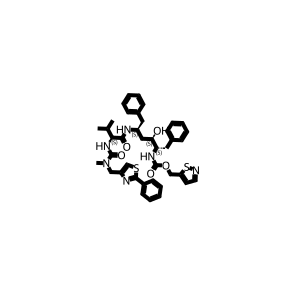 CC(C)[C@H](NC(=O)N(C)Cc1csc(-c2ccccc2)n1)C(=O)N[C@@H](Cc1ccccc1)C[C@H](O)[C@H](Cc1ccccc1)NC(=O)OCc1ccns1